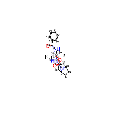 CC(C)OC(=O)N1C2CCC1CC(NCCNC(=O)c1ccccc1)C2